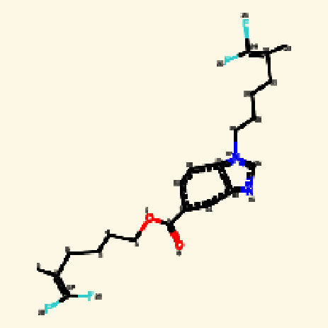 CC(CCCCOC(=O)c1ccc2c(c1)ncn2CCCCC(C)=C(F)F)=C(F)F